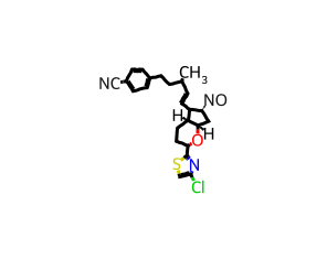 CC(/C=C/C1[C@H]2CCC(c3nc(Cl)cs3)O[C@H]2C[C@H]1N=O)CCc1ccc(C#N)cc1